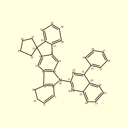 C1=Cc2c(c3cc4c(cc3n2-c2nc(-c3ccccc3)c3ccccc3n2)-c2ccccc2C42CCCC2)CC1